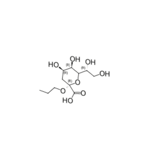 CCCO[C@]1(C(=O)O)C[C@@H](O)[C@@H](O)C([C@H](O)CO)O1